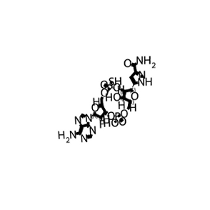 NC(=O)c1cc([C@@H]2O[C@@H]3COP(=O)(O)O[C@H]4[C@@H](F)[C@H](n5cnc6c(N)ncnc65)O[C@@H]4COP(=O)(S)O[C@@H]2[C@@H]3O)[nH]n1